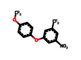 O=[N+]([O-])c1cc(Oc2ccc(OC(F)(F)F)cc2)cc(C(F)(F)F)c1